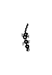 CCCCCCCC1CC[C@@H]2C[C@H](c3cc(F)c(-c4ccc(OC)cc4)c(F)c3)CC[C@@H]2C1